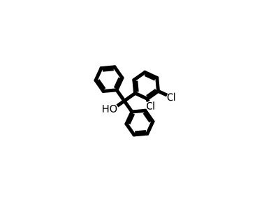 OC(c1ccccc1)(c1ccccc1)c1cccc(Cl)c1Cl